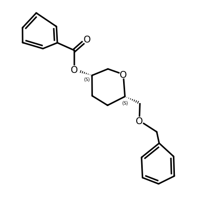 O=C(O[C@H]1CC[C@@H](COCc2ccccc2)OC1)c1ccccc1